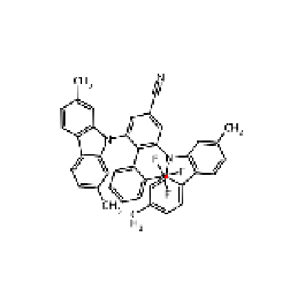 Cc1ccc2c3ccc(C)cc3n(-c3cc(C#N)cc(-n4c5cc(C)ccc5c5ccc(C)cc54)c3-c3ccccc3C(F)(F)F)c2c1